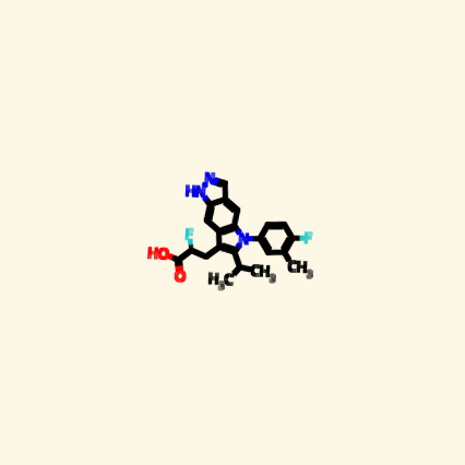 Cc1cc(-n2c(C(C)C)c(C[C@H](F)C(=O)O)c3cc4[nH]ncc4cc32)ccc1F